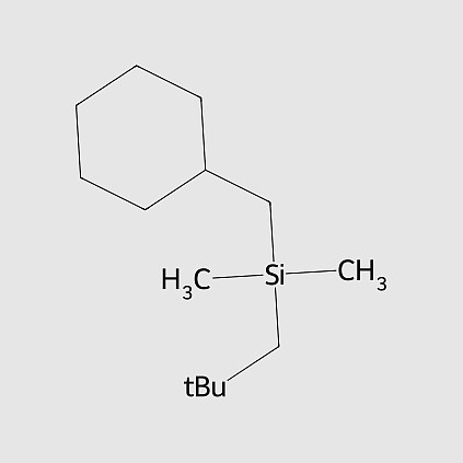 CC(C)(C)C[Si](C)(C)CC1CCCCC1